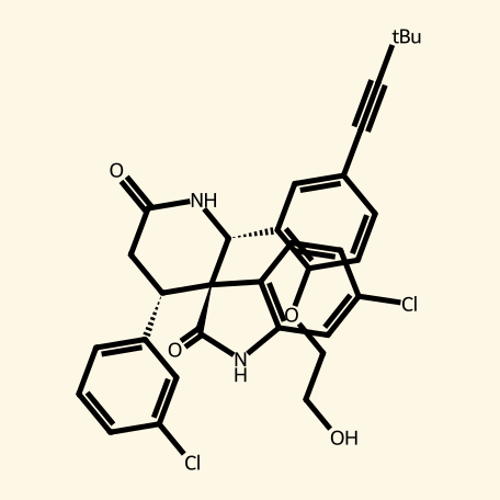 CC(C)(C)C#Cc1ccc(OCCO)c([C@H]2NC(=O)C[C@@H](c3cccc(Cl)c3)[C@]23C(=O)Nc2cc(Cl)ccc23)c1